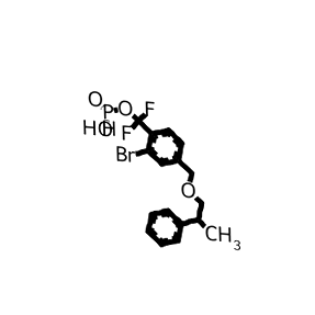 CC(COCc1ccc(C(F)(F)O[PH](=O)O)c(Br)c1)c1ccccc1